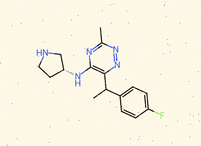 Cc1nnc(C(C)c2ccc(F)cc2)c(N[C@@H]2CCNC2)n1